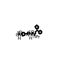 CCCN(CCC(c1ccccc1)c1ccccc1)C(=O)Nc1nc(-c2ccc(NS(C)(=O)=O)cc2)cs1